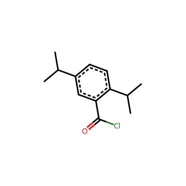 CC(C)c1ccc(C(C)C)c(C(=O)Cl)c1